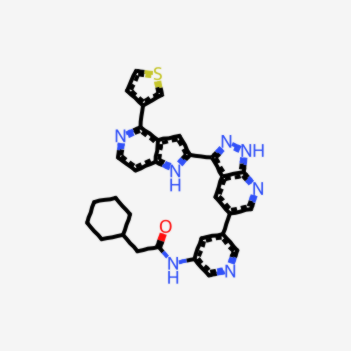 O=C(CC1CCCCC1)Nc1cncc(-c2cnc3[nH]nc(-c4cc5c(-c6ccsc6)nccc5[nH]4)c3c2)c1